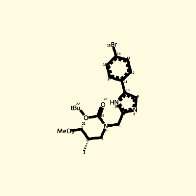 COC[C@@H](C)CN(Cc1ncc(-c2ccc(Br)cc2)[nH]1)C(=O)OC(C)(C)C